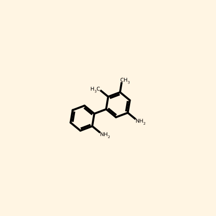 Cc1cc(N)cc(-c2ccccc2N)c1C